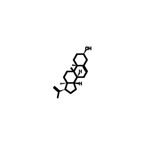 C=C(C)[C@H]1CC[C@H]2[C@@H]3CC=C4C[C@@H](O)CC[C@]4(C)[C@@]3(C)CC[C@]12C